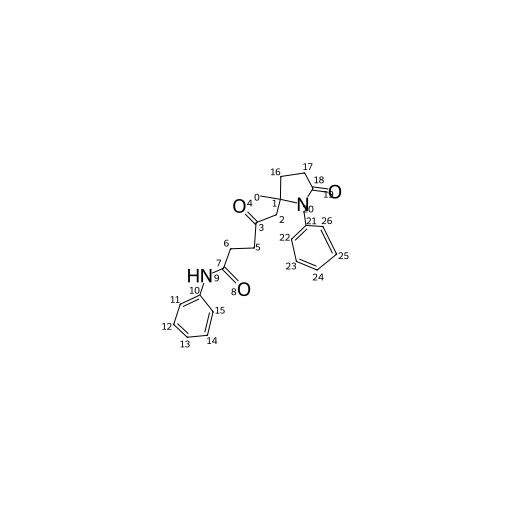 CC1(CC(=O)CCC(=O)Nc2ccccc2)CCC(=O)N1c1ccccc1